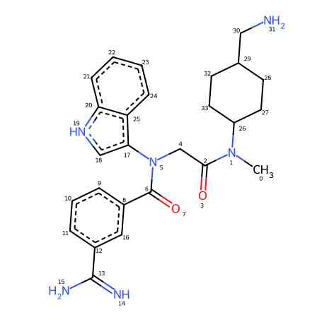 CN(C(=O)CN(C(=O)c1cccc(C(=N)N)c1)c1c[nH]c2ccccc12)C1CCC(CN)CC1